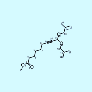 COC(=O)CCCCCC#CC(OCC(C)C)OCC(C)C